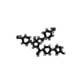 Cc1noc(-c2ccc(C(=O)N3CC(c4ccc(Cl)cc4)C(C)(COc4ccc(Cl)cn4)C3)cc2)n1